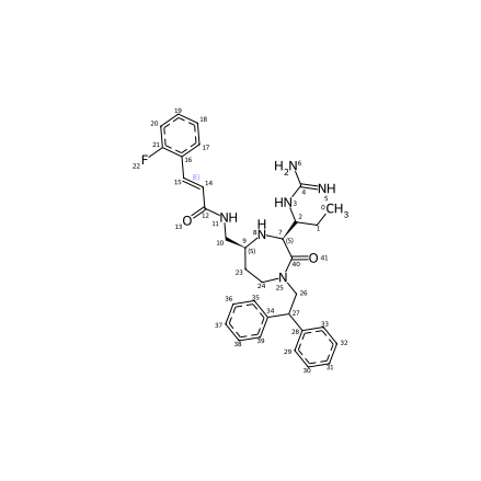 CCC(NC(=N)N)[C@@H]1N[C@H](CNC(=O)/C=C/c2ccccc2F)CCN(CC(c2ccccc2)c2ccccc2)C1=O